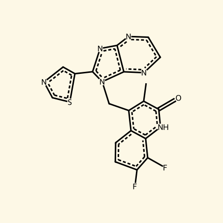 Cc1c(Cn2c(-c3cncs3)nc3nccnc32)c2ccc(F)c(F)c2[nH]c1=O